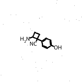 N#CC1(c2ccc(O)cc2)CCC1N